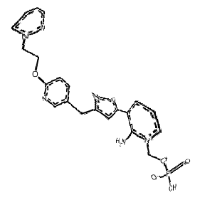 Nc1c(-c2cc(Cc3ccc(OCCn4cccn4)nc3)no2)ccc[n+]1COP(=O)([O-])O